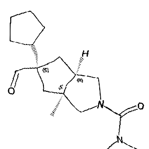 CN(C)C(=O)N1C[C@@H]2C[C@@](C=O)(C3CCCC3)C[C@]2(C)C1